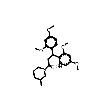 COc1ccc(C(CC(=O)N2CCCC(C)C2)c2c(O)cc(OC)cc2OC)c(OC)c1